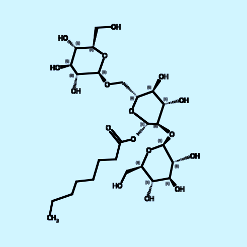 CCCCCCCC(=O)O[C@@H]1O[C@H](CO[C@@H]2O[C@H](CO)[C@@H](O)[C@H](O)[C@H]2O)[C@@H](O)[C@H](O)[C@H]1O[C@@H]1O[C@H](CO)[C@@H](O)[C@H](O)[C@H]1O